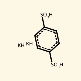 O=S(=O)(O)c1ccc(S(=O)(=O)O)cc1.[KH].[KH]